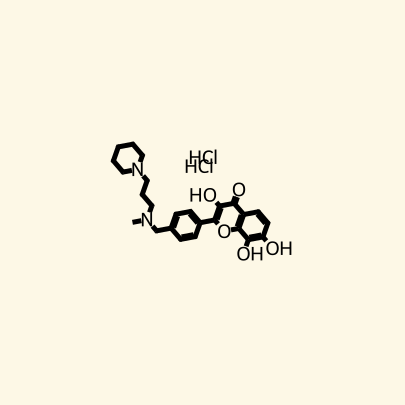 CN(CCCN1CCCCC1)Cc1ccc(-c2oc3c(O)c(O)ccc3c(=O)c2O)cc1.Cl.Cl